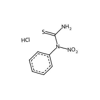 Cl.NC(=S)N(c1ccccc1)[N+](=O)[O-]